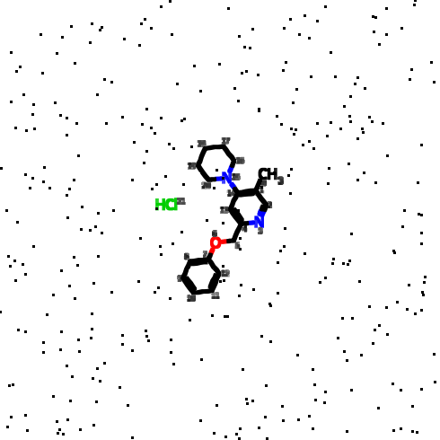 Cc1cnc(COc2ccccc2)cc1N1CCCCC1.Cl